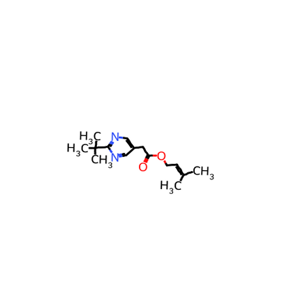 CC(C)=CCOC(=O)Cc1cnc(C(C)(C)C)nc1